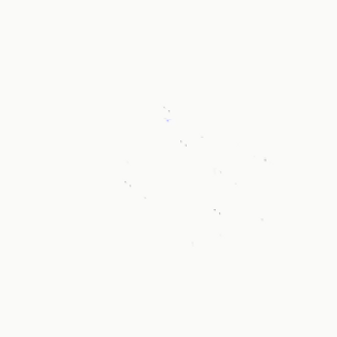 C/N=C(\CC1CCC(C)(C)NC1=O)NC(=O)C(CC(C)(C)C)NC(=O)C(NC(=O)C(F)(F)F)C(C)(C)C